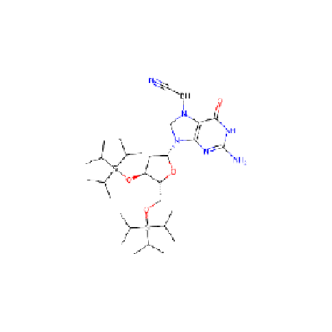 CC(C)[Si](OC[C@H]1O[C@@H](N2CN(BC#N)c3c2nc(N)[nH]c3=O)C[C@@H]1O[Si](C(C)C)(C(C)C)C(C)C)(C(C)C)C(C)C